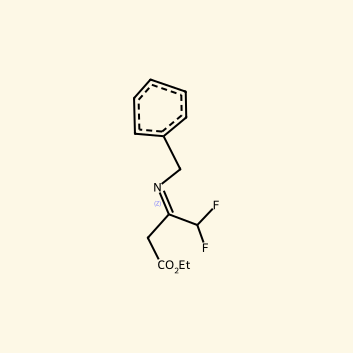 CCOC(=O)C/C(=N/Cc1ccccc1)C(F)F